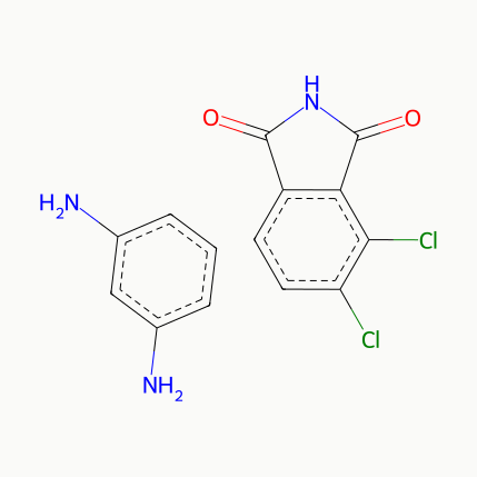 Nc1cccc(N)c1.O=C1NC(=O)c2c1ccc(Cl)c2Cl